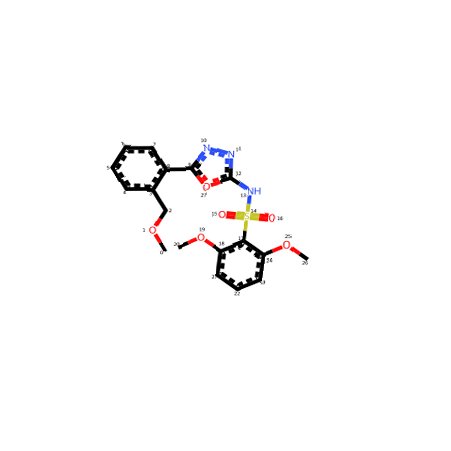 COCc1ccccc1-c1nnc(NS(=O)(=O)c2c(OC)cccc2OC)o1